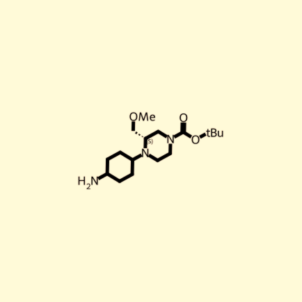 COC[C@@H]1CN(C(=O)OC(C)(C)C)CCN1C1CCC(N)CC1